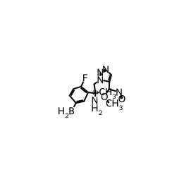 Bc1ccc(F)c([C@@](C)(N)Cn2nncc2C(N=O)OC)c1